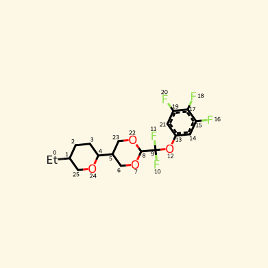 CCC1CCC(C2COC(C(F)(F)Oc3cc(F)c(F)c(F)c3)OC2)OC1